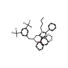 CCCCn1c(-c2ccccc2)nc(-c2ccccc2)c1CN(Cc1cc(C(F)(F)F)cc(C(F)(F)F)c1)Cc1ccc2c(c1)OCO2